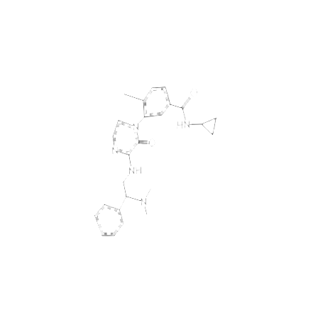 Cc1ccc(C(=O)NC2CC2)cc1-n1ccnc(NCC(c2ccccc2)N(C)C)c1=O